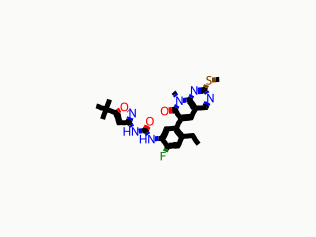 CCc1cc(F)c(NC(=O)Nc2cc(C(C)(C)C)on2)cc1-c1cc2cnc(SC)nc2n(C)c1=O